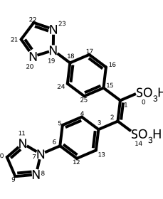 O=S(=O)(O)C(=C(c1ccc(-n2nccn2)cc1)S(=O)(=O)O)c1ccc(-n2nccn2)cc1